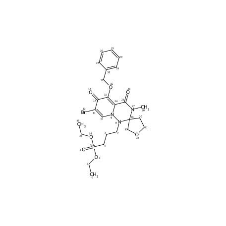 CCOP(=O)(CCCN1n2cc(Br)c(=O)c(OCc3ccccc3)c2C(=O)N(C)C12CCOC2)OCC